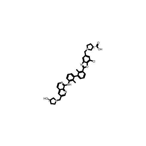 Cc1c(Nc2nccc3cc(CN4CC[C@@H](O)C4)cnc23)cccc1-c1cccc(-c2nc3cc(CN4CC[C@H](C(=O)O)C4)cc(Cl)c3o2)c1C